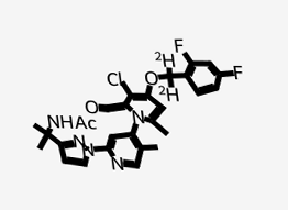 [2H]C([2H])(OC1=C(Cl)C(=C=O)N(c2cc(-n3ccc(C(C)(C)NC(C)=O)n3)ncc2C)C(C)=C1)c1ccc(F)cc1F